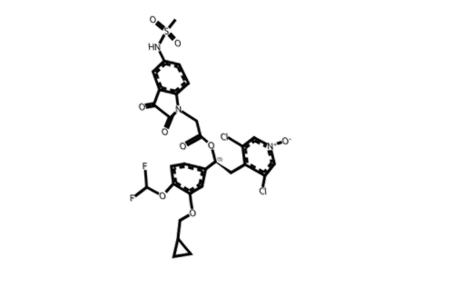 CS(=O)(=O)Nc1ccc2c(c1)C(=O)C(=O)N2CC(=O)O[C@@H](Cc1c(Cl)c[n+]([O-])cc1Cl)c1ccc(OC(F)F)c(OCC2CC2)c1